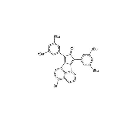 CC(C)(C)c1cc(C2=C3C(=C(c4cc(C(C)(C)C)cc(C(C)(C)C)c4)C2=O)c2ccc(Br)c4cccc3c24)cc(C(C)(C)C)c1